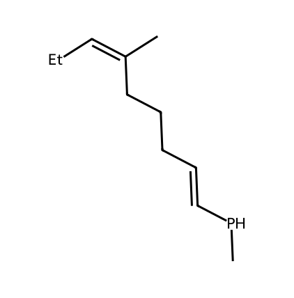 CC/C=C(/C)CCC/C=C/PC